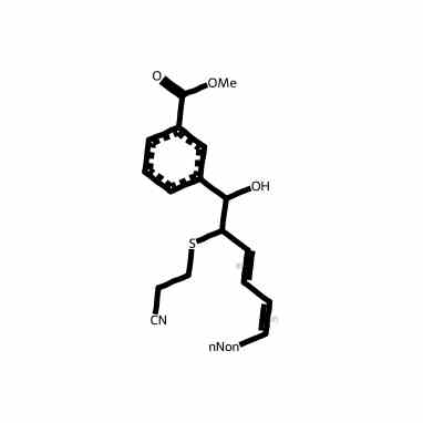 CCCCCCCCC/C=C\C=C\C(SCCC#N)C(O)c1cccc(C(=O)OC)c1